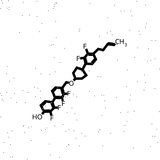 C/C=C/CCc1ccc(C2CCC(OCc3ccc(-c4ccc(O)c(F)c4F)c(F)c3F)CC2)c(F)c1F